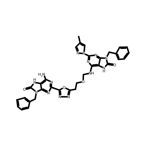 Cc1cnn(-c2nc(NCOCCc3nnc(-c4nc(N)c5[nH]c(=O)n(Cc6ccccc6)c5n4)o3)c3[nH]c(=O)n(Cc4ccccc4)c3n2)c1